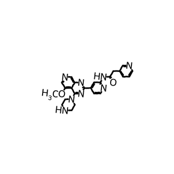 COc1cncc2nc(-c3ccnc(NC(=O)Cc4cccnc4)c3)nc(N3CCNCC3)c12